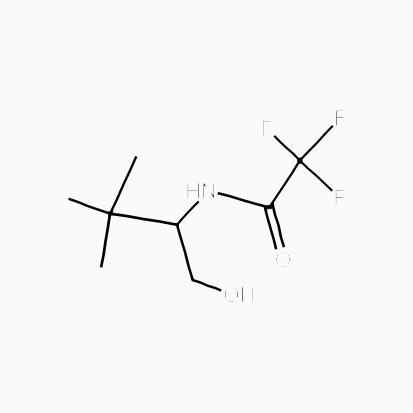 CC(C)(C)C(CO)NC(=O)C(F)(F)F